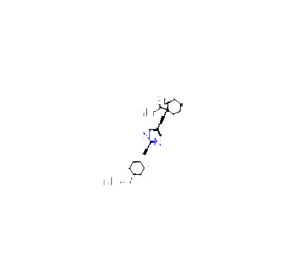 CCCCCC[C@H]1CC[C@H](C#Cc2ncc(C#CC3(C(CC)CCC)CCCCC3)cn2)CC1